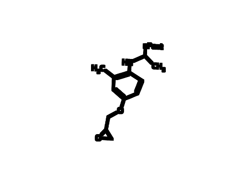 CCCCCC(C)Nc1ccc(OCC2CO2)cc1C